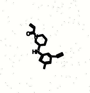 C#Cc1cc(C)cc(NC2CCCN(C(=O)C=C)C2)c1